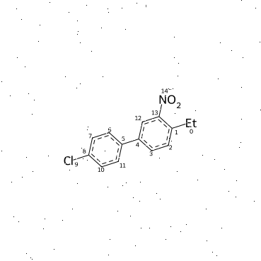 CCc1ccc(-c2ccc(Cl)cc2)cc1[N+](=O)[O-]